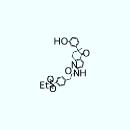 CCS(=O)(=O)c1ccc(CC(=O)Nc2ccc3c(n2)CCC(C)(c2cccc(O)c2)C3=O)cc1